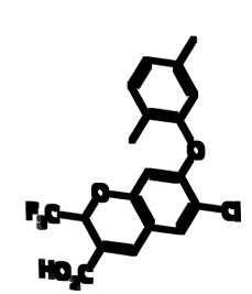 Cc1ccc(C)c(Oc2cc3c(cc2Cl)C=C(C(=O)O)C(C(F)(F)F)O3)c1